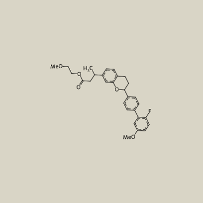 COCCOC(=O)CC(C)c1ccc2c(c1)OC(c1ccc(-c3cc(OC)ccc3F)cc1)CC2